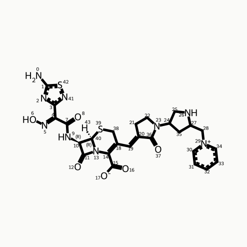 Nc1nc(C(=NO)C(=O)N[C@@H]2C(=O)N3C(C(=O)[O-])=C(C=C4CCN(C5CNC(C[n+]6ccccc6)C5)C4=O)CS[C@H]23)ns1